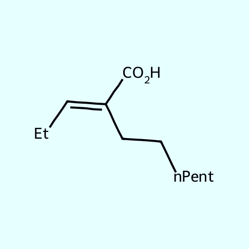 CCC=C(CCCCCCC)C(=O)O